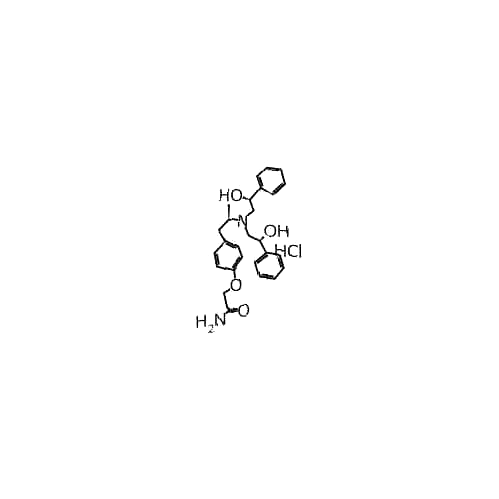 C[C@H](Cc1ccc(OCC(N)=O)cc1)N(C[C@@H](O)c1ccccc1)C[C@@H](O)c1ccccc1.Cl